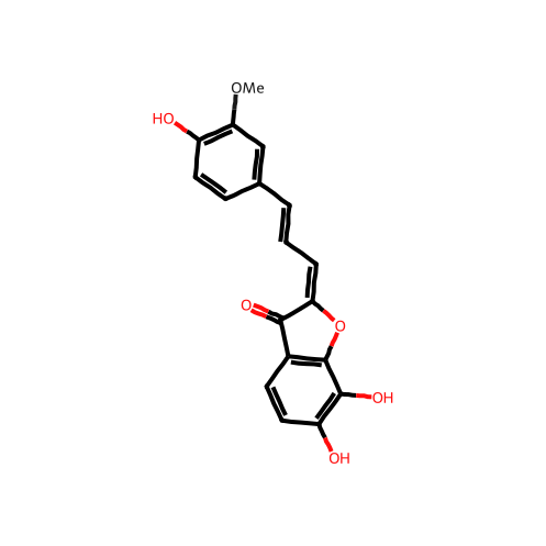 COc1cc(/C=C/C=C2/Oc3c(ccc(O)c3O)C2=O)ccc1O